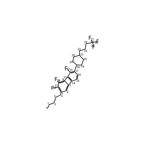 CCCCCc1cc2c(c(F)c1F)-c1c-2ccc(C2CCC(CCCC(F)(F)F)CC2)c1F